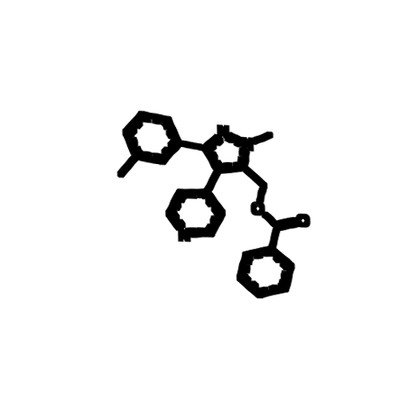 Cc1cccc(-c2nn(C)c(COC(=O)c3ccccc3)c2-c2ccncc2)c1